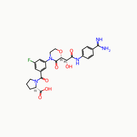 N=C(N)c1ccc(NC(=O)[C@H](O)[C@H]2OCCN(c3cc(F)cc(C(=O)N4CCC[C@H]4C(=O)O)c3)C2=O)cc1